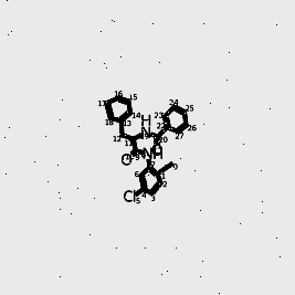 Cc1ccc(Cl)cc1NC(=O)C(Cc1ccccc1)NC(=O)c1ccccc1